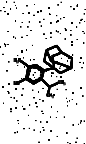 Cc1cc(C23CC4CC(CC(C4)C2)C3)c(C(C)C)cc1O